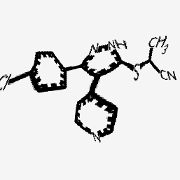 CC(C#N)Sc1[nH]nc(-c2ccc(Cl)cc2)c1-c1ccncc1